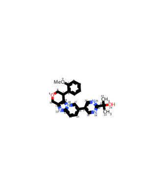 COc1ccccc1C1COCc2nc3ccc(-c4cnc(C(C)(C)O)nc4)cn3c21